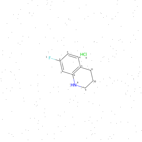 Cl.Fc1ccc2c(c1)NCCC2